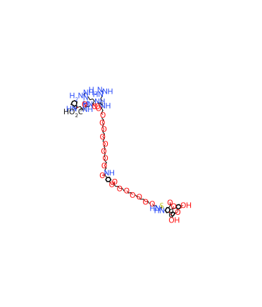 N=C(N)NCCCC(NC(=O)[C@H](CCCNC(=N)N)NC(=O)CCOCCOCCOCCOCCOCCOCCOCCOCCNC(=O)c1ccc(OC(=O)CCOCCOCCOCCOCCOCCOCCNC(=S)Nc2ccc3c(c2)C(=O)OC32c3ccc(O)cc3Oc3cc(O)ccc32)cc1)C(=O)NCC(=O)N[C@@H](Cc1c[nH]c2ccccc12)C(=O)O